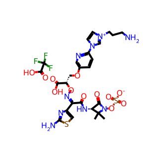 CC1(C)[C@H](NC(=O)/C(=N\O[C@@H](COc2ccc(-n3cc[n+](CCCN)c3)nc2)C(=O)O)c2csc(N)n2)C(=O)N1OS(=O)(=O)[O-].O=C(O)C(F)(F)F